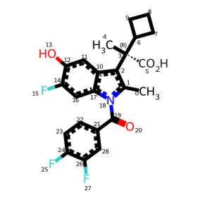 Cc1c([C@](C)(C(=O)O)C2CCC2)c2cc(O)c(F)cc2n1C(=O)c1ccc(F)c(F)c1